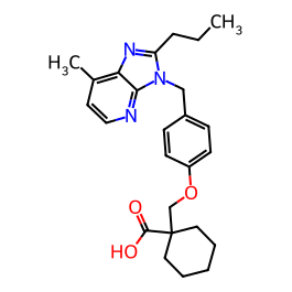 CCCc1nc2c(C)ccnc2n1Cc1ccc(OCC2(C(=O)O)CCCCC2)cc1